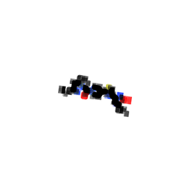 C/C=C/C(=NO)c1csc(C2CCN(C(=O)Cn3nc(C)cc3C)CC2)n1